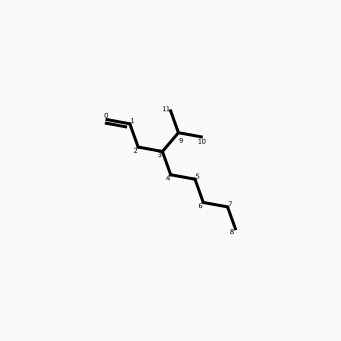 C=CCC(CCCCC)[C](C)C